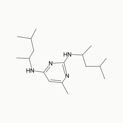 Cc1cc(NC(C)CC(C)C)nc(NC(C)CC(C)C)n1